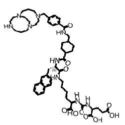 O=C(O)CCC(NC(=O)NC(CCCCNC(=O)[C@H](Cc1ccc2ccccc2c1)NC(=O)C1CCC(CNC(=O)c2ccc(CN3CCCN4CCNCCCN(CC4)CC3)cc2)CC1)C(=O)O)C(=O)O